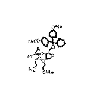 COCCO[C@H]1CO[C@H](COC(c2ccccc2)(c2ccc(OC)cc2)c2ccc(OC)cc2)[C@H]1OP(OCCC#N)N(C(C)C)C(C)C